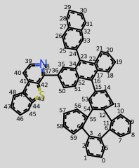 c1ccc2c(c1)-c1ccccc1-c1ccc(-c3c4ccccc4c(-c4ccc5ccccc5c4)c4cc(-c5nccc6c5sc5ccccc56)ccc34)cc1-c1ccccc1-2